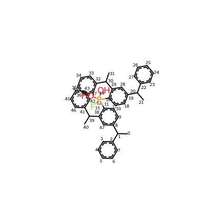 CC(c1ccccc1)c1ccc(P(O)(O)(F)c2ccc(C(C)c3ccccc3)cc2C(C)c2ccccc2)c(C(C)c2ccccc2)c1